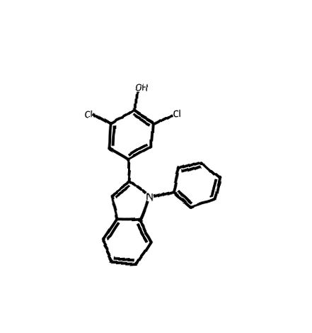 Oc1c(Cl)cc(-c2cc3ccccc3n2-c2ccccc2)cc1Cl